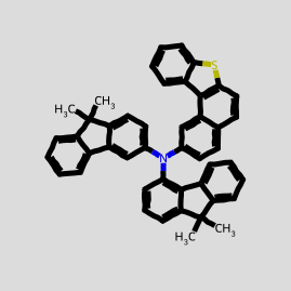 CC1(C)c2ccccc2-c2cc(N(c3ccc4ccc5sc6ccccc6c5c4c3)c3cccc4c3-c3ccccc3C4(C)C)ccc21